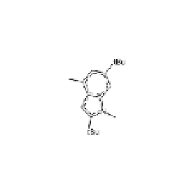 Cc1cc(C(C)(C)C)cc2c1cc(C(C)(C)C)n2C